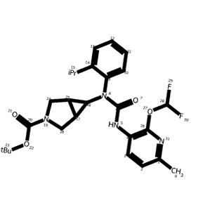 Cc1ccc(NC(=O)N(c2ccccc2C(C)C)C2C3CN(C(=O)OC(C)(C)C)CC32)c(OC(F)F)n1